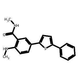 CNC(=O)c1cc(-c2ccc(-c3ccccc3)s2)ccc1NC